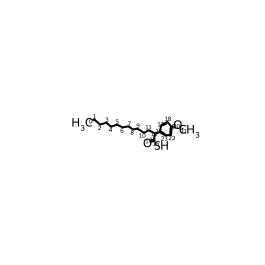 CCCCCCCCCCCCC(C(=O)S)c1ccc(OC)cc1